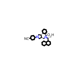 C[C@H](c1cccc2ccccc12)N(C[C@H]1CN(c2ccc(C#N)cc2)C[C@@H]1c1ccccc1)C(=O)O